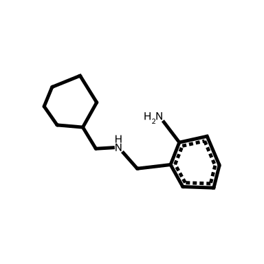 Nc1ccccc1CNCC1CCCCC1